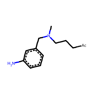 CC(=O)CCCN(C)Cc1cccc(N)c1